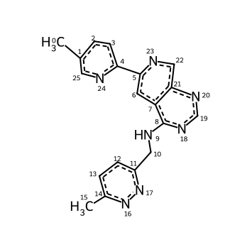 Cc1ccc(-c2cc3c(NCc4ccc(C)nn4)ncnc3cn2)nc1